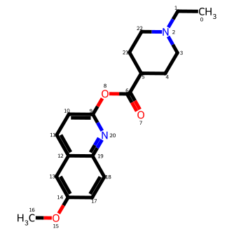 CCN1CCC(C(=O)Oc2ccc3cc(OC)ccc3n2)CC1